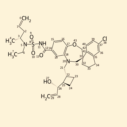 C=CC[C@@H](C)N(CC)S(=O)(=O)NC(=O)c1ccc2c(c1)N(C[C@@H]1CC[C@H]1[C@@H](O)C=C)C[C@@]1(CCCc3cc(Cl)ccc31)CO2